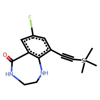 C[Si](C)(C)C#Cc1cc(F)cc2c1NCCNC2=O